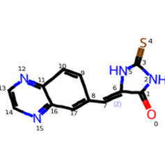 O=C1NC(=S)N/C1=C\c1ccc2nccnc2c1